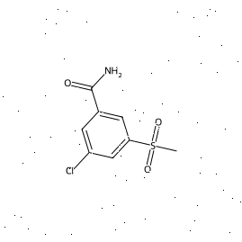 CS(=O)(=O)c1cc(Cl)cc(C(N)=O)c1